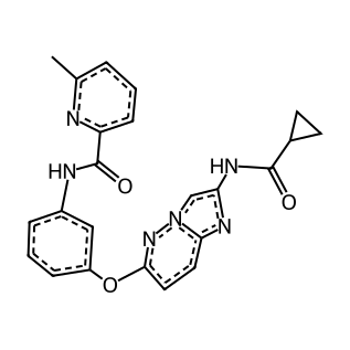 Cc1cccc(C(=O)Nc2cccc(Oc3ccc4nc(NC(=O)C5CC5)cn4n3)c2)n1